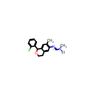 CCN(C)/C=N/c1cc2c(cc1C)C(c1ccccc1F)OCC2